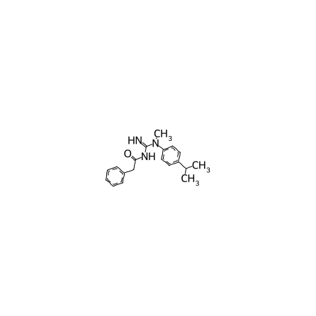 CC(C)c1ccc(N(C)C(=N)NC(=O)Cc2ccccc2)cc1